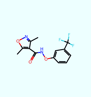 Cc1noc(C)c1C(=O)NOc1cccc(C(F)(F)F)c1